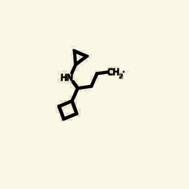 [CH2]CCC(NC1CC1)C1CCC1